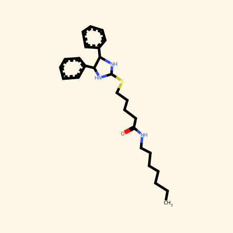 CCCCCCCNC(=O)CCCCSC1NC(c2ccccc2)C(c2ccccc2)N1